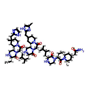 Cc1c[nH]c(CC2CCN(C(=O)[C@H](CC(C)C(C)C[C@@H]3NCCN([C@@H](CC(C)C)C(=O)N4CC[C@@H](CC(N)=O)C[C@@H]4C)C3=O)N3CCN[C@@H](CC(C)C(C)C[C@@H](C(=O)N4CCC(C)(Cc5ncc[nH]5)CC4)N4CCN[C@@H](CC(C)C)C4=O)C3=O)CC2)n1